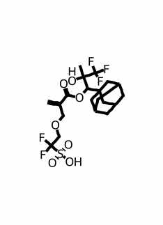 C=C(COCC(F)(F)S(=O)(=O)O)C(=O)OC(C12CC3CC(CC(C3)C1)C2)C(C)(O)C(F)(F)F